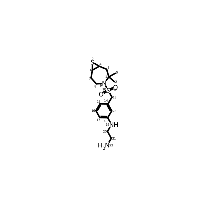 CC1(C)CC2SC2CCN1S(=O)(=O)Cc1cccc(NCCN)c1